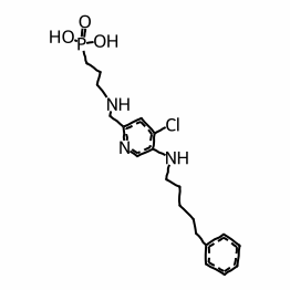 O=P(O)(O)CCCNCc1cc(Cl)c(NCCCCCc2ccccc2)cn1